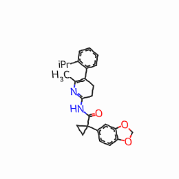 CC1=C(c2ccccc2C(C)C)CCC(NC(=O)C2(c3ccc4c(c3)OCO4)CC2)=N1